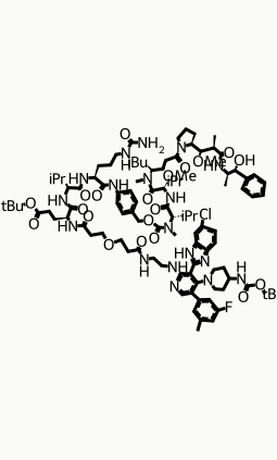 CC[C@H](C)[C@@H]([C@@H](CC(=O)N1CCC[C@H]1[C@H](OC)[C@@H](C)C(=O)N[C@H](C)[C@@H](O)c1ccccc1)OC)N(C)C(=O)[C@@H](NC(=O)[C@H](C(C)C)N(C)C(=O)OCc1ccc(NC(=O)[C@H](CCCNC(N)=O)NC(=O)[C@@H](NC(=O)[C@H](CCC(=O)OC(C)(C)C)NC(=O)CCOCCC(=O)NCCNc2ncc(-c3cc(C)cc(F)c3)c(N3CCC(NC(=O)OC(C)(C)C)CC3)c2-c2nc3ccc(Cl)cc3[nH]2)C(C)C)cc1)C(C)C